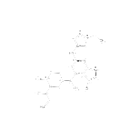 C=CC(=O)N1C[C@H](N(C)c2nc(Nc3cnn(CC)c3)nc3[nH]nc(Cl)c23)CC[C@@H]1C